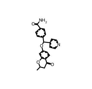 CC1CC(=O)c2ccc(OC(c3ccncc3)c3ccc(C(N)=O)cc3)cc2O1